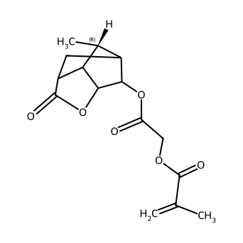 C=C(C)C(=O)OCC(=O)OC1C2OC(=O)C3CC1[C@@H](C)C32